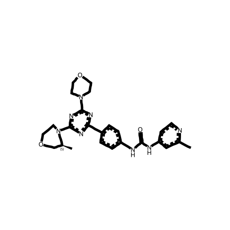 Cc1cc(NC(=O)Nc2ccc(-c3nc(N4CCOCC4)nc(N4CCOC[C@@H]4C)n3)cc2)ccn1